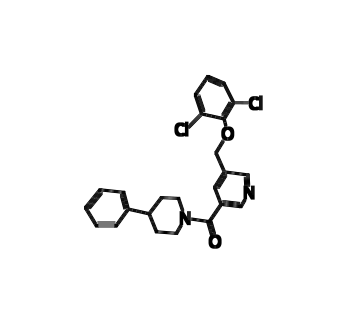 O=C(c1cncc(COc2c(Cl)cccc2Cl)c1)N1CCC(c2ccccc2)CC1